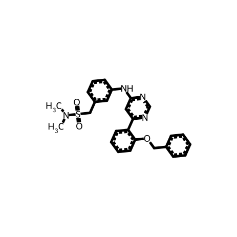 CN(C)S(=O)(=O)Cc1cccc(Nc2cc(-c3ccccc3OCc3ccccc3)ncn2)c1